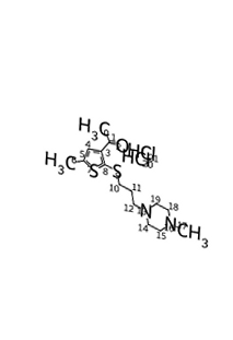 CC(=O)c1cc(C)sc1SCCCN1CCN(C)CC1.Cl.Cl